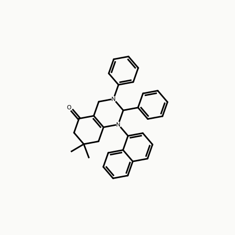 CC1(C)CC(=O)C2=C(C1)N(c1cccc3ccccc13)C(c1ccccc1)N(c1ccccc1)C2